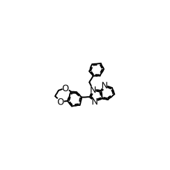 c1ccc(Cn2c(-c3ccc4c(c3)OCCO4)nc3cccnc32)cc1